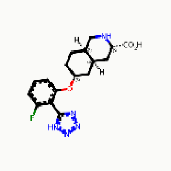 O=C(O)[C@@H]1C[C@H]2C[C@@H](Oc3cccc(F)c3-c3nnn[nH]3)CC[C@H]2CN1